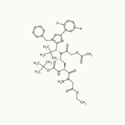 CCOC(=O)CN(N)C(=O)[C@H](CCN(C(=O)COC(C)=O)[C@@H](c1nc(-c2cc(F)ccc2F)cn1Cc1ccccc1)C(C)(C)C)NC(=O)OC(C)(C)C